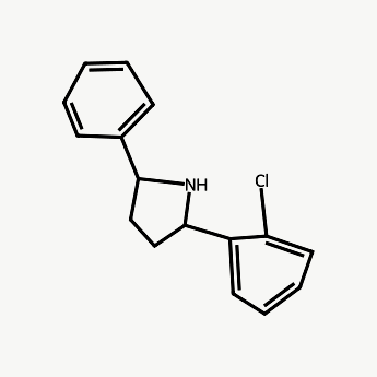 Clc1ccccc1C1CCC(c2ccccc2)N1